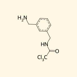 NCc1cccc(CNC(=O)C(Cl)(Cl)Cl)c1